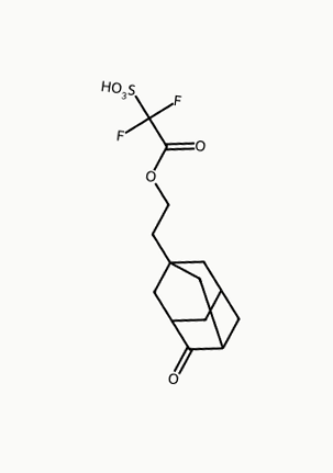 O=C1C2CC3CC1CC(CCOC(=O)C(F)(F)S(=O)(=O)O)(C3)C2